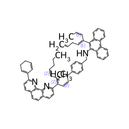 C=CC/C=C(\C=C/C)c1c(NCc2ccc(C(=C)\C=C/C(=C(C)/C=C\CCC)c3ccc4ccc5ccc(C6=CCCC=C6)nc5c4n3)cc2)c2ccccc2c2ccccc12